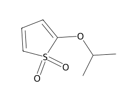 CC(C)OC1=CC=CS1(=O)=O